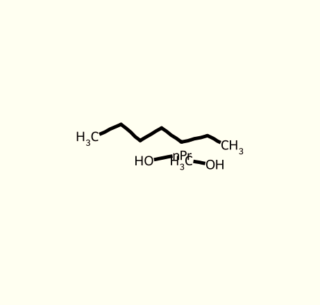 CCCCCCC.CCCO.CO